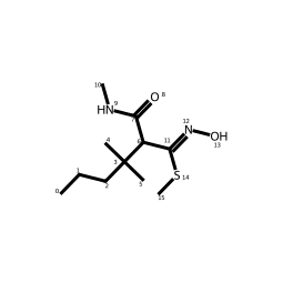 CCCC(C)(C)C(C(=O)NC)/C(=N/O)SC